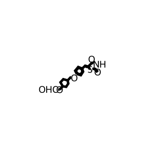 O=COC1CCC(COc2ccc(/C=C3\SC(=O)NC3=O)cc2)CC1